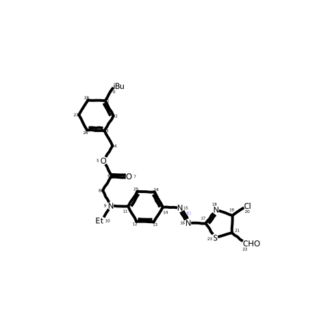 CCC(C)C1=CC(COC(=O)CN(CC)c2ccc(/N=N/C3=NC(Cl)C(C=O)S3)cc2)=CCC1